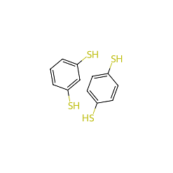 Sc1ccc(S)cc1.Sc1cccc(S)c1